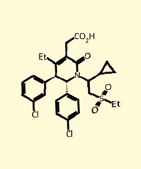 CCC1=C(CC(=O)O)C(=O)N(C(CS(=O)(=O)CC)C2CC2)[C@H](c2ccc(Cl)cc2)[C@H]1c1cccc(Cl)c1